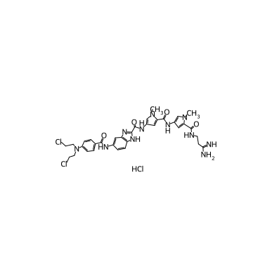 Cl.Cn1cc(NC(=O)c2cc(NC(=O)c3nc4cc(NC(=O)c5ccc(N(CCCl)CCCl)cc5)ccc4[nH]3)cn2C)cc1C(=O)NCCC(=N)N